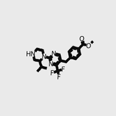 COC(=O)c1ccc(Cc2cnc(N3CCNCC3C(C)C)nc2C(F)(F)F)cc1